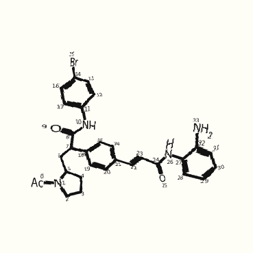 CC(=O)N1CCCC1CC(C(=O)Nc1ccc(Br)cc1)c1ccc(/C=C/C(=O)Nc2ccccc2N)cc1